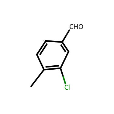 Cc1c[c]c(C=O)cc1Cl